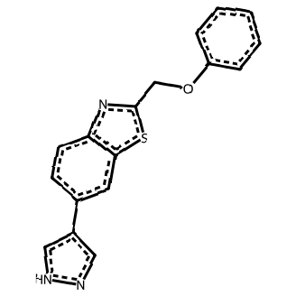 c1ccc(OCc2nc3ccc(-c4cn[nH]c4)cc3s2)cc1